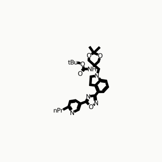 CCCc1ccc(-c2nc(-c3cccc4c3CCN4CC3(NC(=O)OC(C)(C)C)COC(C)(C)OC3)no2)cn1